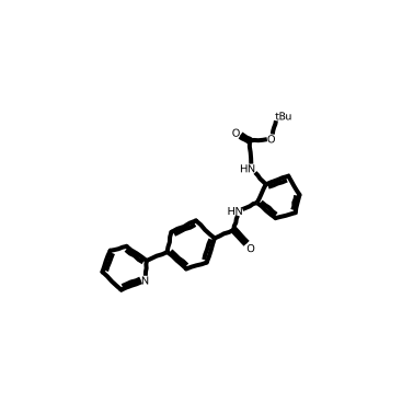 CC(C)(C)OC(=O)Nc1ccccc1NC(=O)c1ccc(-c2ccccn2)cc1